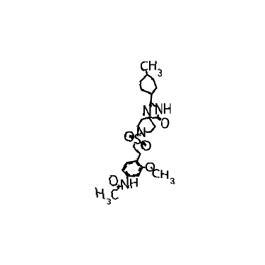 COc1cc(NC(C)=O)ccc1CCS(=O)(=O)N1CCC2(CC1)N=C(C1CCC(C)CC1)NC2=O